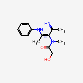 CC(=N)/C(=C(/C)Nc1ccccc1)N(C)C(=O)CO